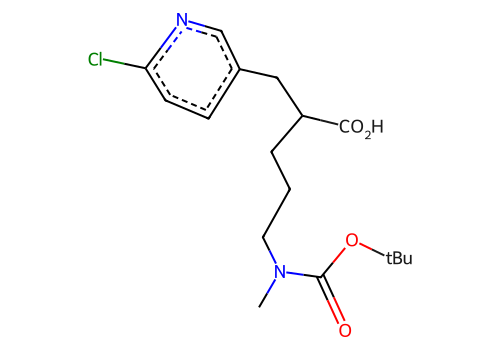 CN(CCCC(Cc1ccc(Cl)nc1)C(=O)O)C(=O)OC(C)(C)C